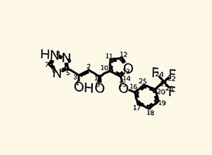 O=C(C=C(O)c1nc[nH]n1)c1ccoc1Oc1cccc(C(F)(F)F)c1